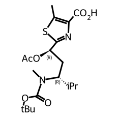 CC(=O)O[C@H](C[C@H](C(C)C)N(C)C(=O)OC(C)(C)C)c1nc(C(=O)O)c(C)s1